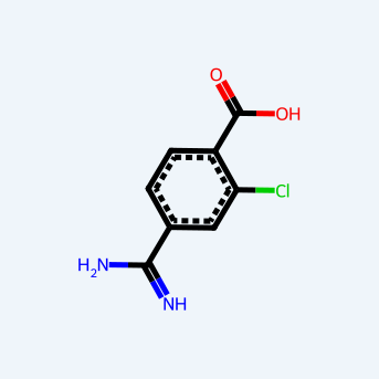 N=C(N)c1ccc(C(=O)O)c(Cl)c1